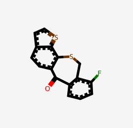 O=C1c2cccc(F)c2CSc2c1ccc1ccsc21